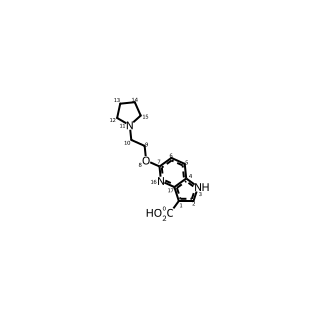 O=C(O)c1c[nH]c2ccc(OCCN3CCCC3)nc12